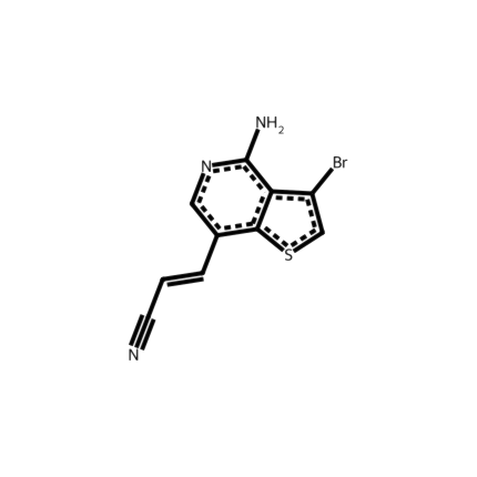 N#C/C=C/c1cnc(N)c2c(Br)csc12